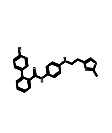 CCc1ccc(-c2ccccc2C(=O)Nc2ccc(NCCc3csc(C)n3)cc2)cc1